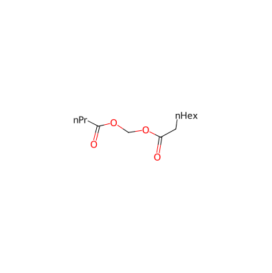 CCCCCCCC(=O)OCOC(=O)CCC